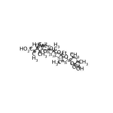 CC[C@@]1([C@@H]2OC(P3O[C@@](O)(CO)[C@H](C)C[C@@H]3C)C[C@@H]2C)CCC([C@]2(C)CC[C@]3(CC[C@@H](C)C([C@@H](C)[C@@H](OC)[C@H](C)C(=O)O)O3)O2)O1